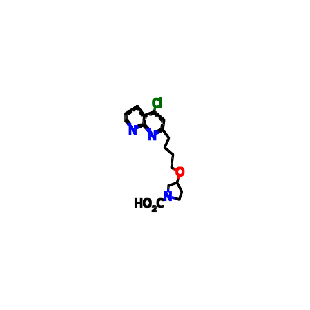 O=C(O)N1CCC(OCCCCc2cc(Cl)c3cccnc3n2)C1